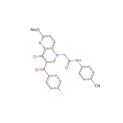 COc1ccc2c(n1)c(=O)c(C(=O)c1ccc(F)cc1)cn2CC(=O)Nc1ccc(C#N)cc1